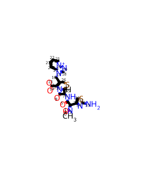 CO/N=C(\C(=O)N[C@@H]1C(=O)N2C(C(=O)[O-])=C(Cn3cn[n+]4ccccc34)CS[C@H]12)c1csc(N)n1